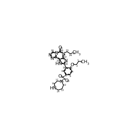 CCCOc1ccc(S(=O)(=O)N2CCCNCC2)cc1-c1nc2c([nH]1)c1nncn1c(=O)n2CCC